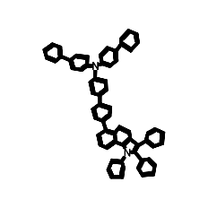 c1ccc(-c2ccc(N(c3ccc(-c4ccccc4)cc3)c3ccc(-c4ccc(-c5cccc6c5ccc5c(-c7ccccc7)c(-c7ccccc7)n(-c7ccccc7)c56)cc4)cc3)cc2)cc1